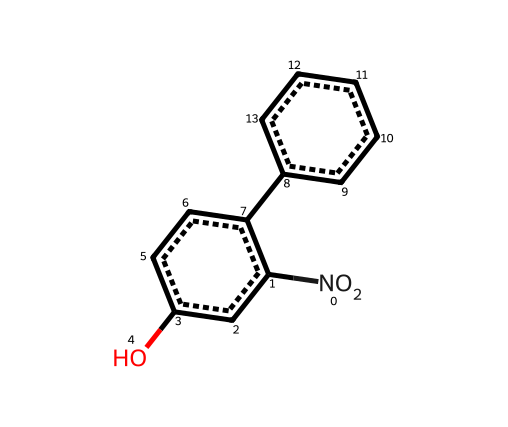 O=[N+]([O-])c1cc(O)ccc1-c1ccccc1